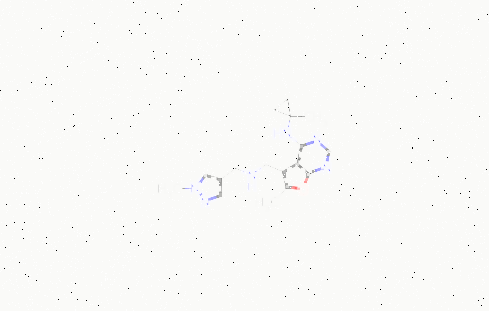 Cc1oc2ncnc(NC3(C)CC3)c2c1CNCc1cnn(C)c1